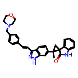 CC1(c2ccc3c(C=Cc4ccc(CN5CCOCC5)cc4)n[nH]c3c2)CC12C(=O)Nc1ccccc12